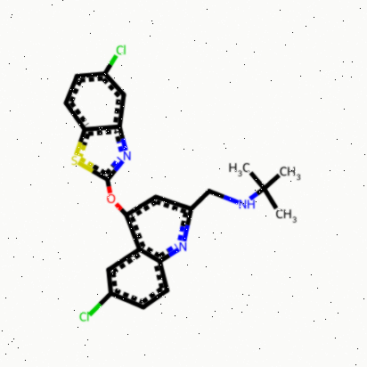 CC(C)(C)NCc1cc(Oc2nc3cc(Cl)ccc3s2)c2cc(Cl)ccc2n1